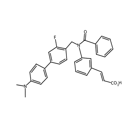 CN(C)c1ccc(-c2ccc(CN(C(=O)c3ccccc3)c3cccc(C=CC(=O)O)c3)c(F)c2)cc1